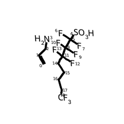 C=CCN.O=S(=O)(O)C(F)(F)C(F)(F)C(F)(F)CCCCC(F)(F)F